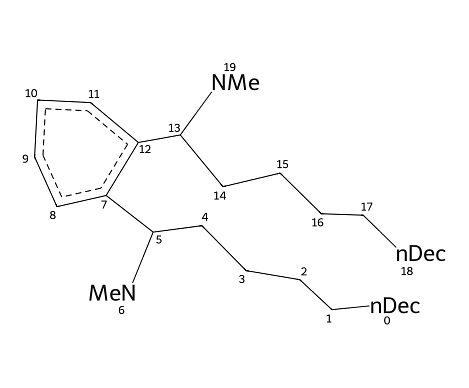 CCCCCCCCCCCCCCC(NC)c1ccccc1C(CCCCCCCCCCCCCC)NC